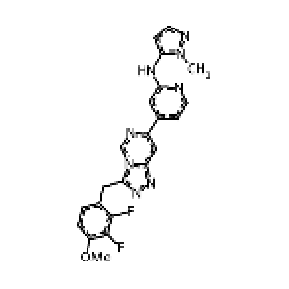 COc1ccc(Cc2nnc3cc(-c4ccnc(Nc5ccnn5C)c4)ncn23)c(F)c1F